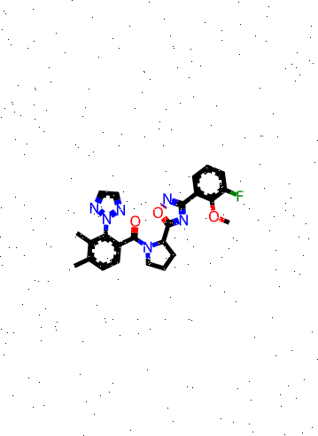 COc1c(F)cccc1-c1noc(C2CCCN2C(=O)c2ccc(C)c(C)c2-n2nccn2)n1